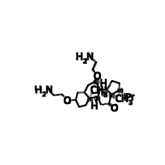 CC(C)[C@H]1CC[C@H]2C3[C@H](OCCN)CC4CC(OCCN)CC[C@]4(C)[C@H]3CC(=O)[C@]12C